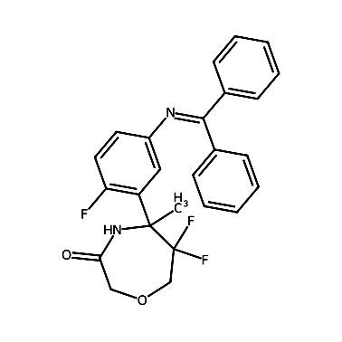 CC1(c2cc(N=C(c3ccccc3)c3ccccc3)ccc2F)NC(=O)COCC1(F)F